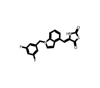 O=C1NC(=Cc2cccc3c2ccn3Cc2cc(F)cc(F)c2)C(=O)S1